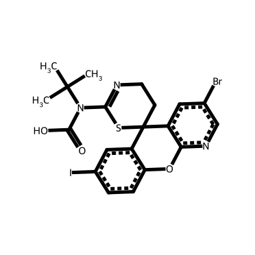 CC(C)(C)N(C(=O)O)C1=NCCC2(S1)c1cc(I)ccc1Oc1ncc(Br)cc12